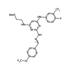 COCCNc1cc(Nc2ccc(F)c(C(F)(F)F)c2)nc(N/N=C/c2ccc(OC(F)(F)F)cc2)n1